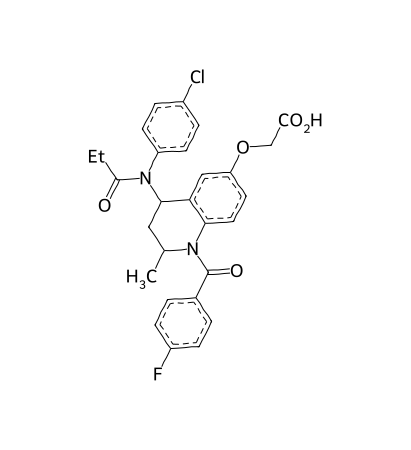 CCC(=O)N(c1ccc(Cl)cc1)C1CC(C)N(C(=O)c2ccc(F)cc2)c2ccc(OCC(=O)O)cc21